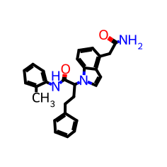 Cc1ccccc1NC(=O)C(CCc1ccccc1)n1ccc2c(CC(N)=O)cccc21